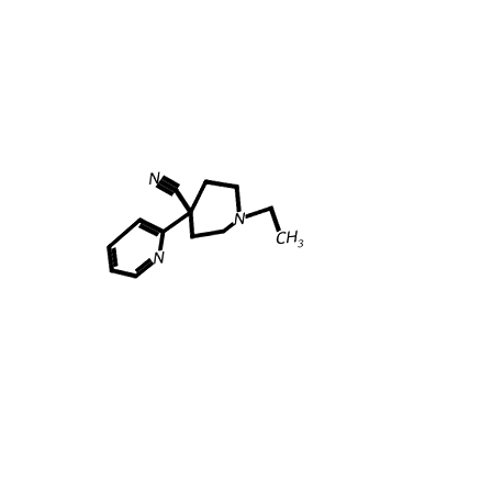 CCN1CCC(C#N)(c2ccccn2)CC1